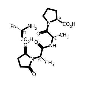 CC(C)[C@H](N)C(=O)O.C[C@H](NC(=O)[C@H](C)N1C(=O)CCC1=O)C(=O)N1CCC[C@H]1C(=O)O